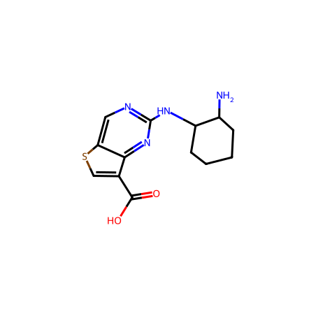 NC1CCCCC1Nc1ncc2scc(C(=O)O)c2n1